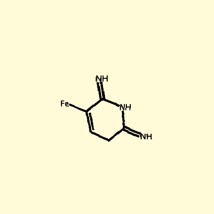 N=C1CC=[C]([Fe])C(=N)N1